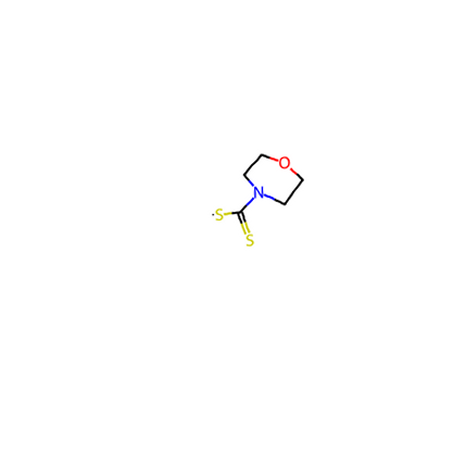 [S]C(=S)N1CCOCC1